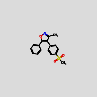 Cc1noc(-c2ccccc2)c1-c1ccc(S(C)(=O)=O)cc1